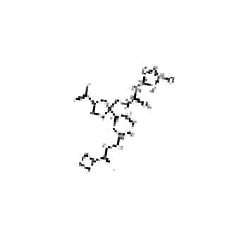 C=C(C)N1CCC2(C1)CN(C(=O)Nc1ncc(Cl)s1)C1=CCC(CCC(=O)N3CCC3)C=C12